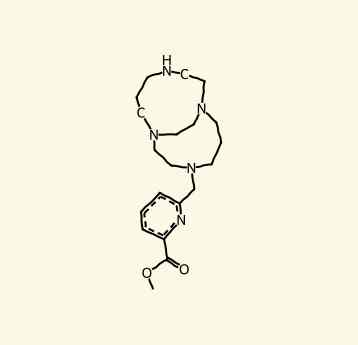 COC(=O)c1cccc(CN2CCCN3CCNCCCN(CC3)CC2)n1